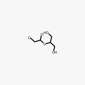 OCC(CO)OC(Cl)CCl